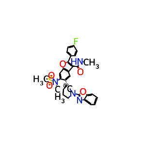 CNC(=O)c1c(-c2ccc(F)cc2)oc2cc(N(C)S(C)(=O)=O)c([C@H]3CCCN(c4nc5ccccc5o4)C3)cc12